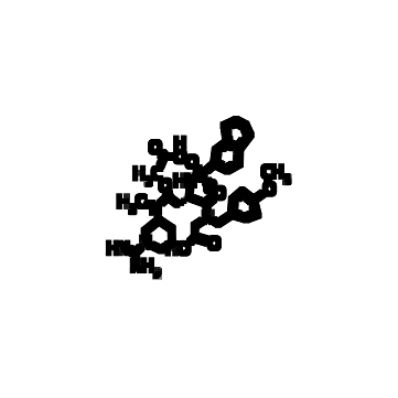 CC(=O)O.COc1ccc(CN(CC(=O)O)C(=O)[C@H](CC(=O)N(C)[C@H]2CCCN(C(=N)N)C2)NS(=O)(=O)c2ccc3ccccc3c2)cc1